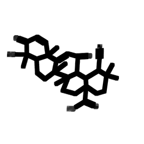 CC1(C)CCC2(C(=O)O)CCC3(C)C(C(=O)C=C4C5(C)C=CC(=O)C(C)(O)C5CCC43C)C2C1C#N